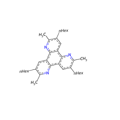 CCCCCCc1cc2c(nc1C)c1cc(CCCCCC)c(C)nc1c1cc(CCCCCC)c(C)nc21